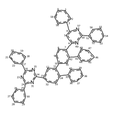 c1ccc(-c2cc(-c3ccc(-c4cc(-c5nc(-c6ccccc6)nc(-c6ccccc6)n5)ccc4-c4ccccc4)cc3-c3ccccc3)nc(-c3ccccc3)n2)cc1